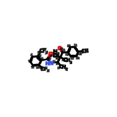 CC(NC(=O)c1c(C(F)(F)F)cccc1C(F)(F)F)C(C)(C)C(=O)c1ccc(C#N)cc1